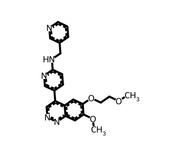 COCCOc1cc2c(-c3ccc(NCc4cccnc4)nc3)cnnc2cc1OC